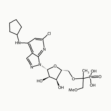 COCC(C)(OC[C@H]1O[C@@H](n2ncc3c(NC4CCCC4)cc(Cl)nc32)[C@H](O)[C@@H]1O)P(=O)(O)O